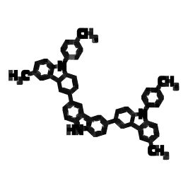 Cc1ccc(N2c3ccc(C)cc3C3C=C(c4ccc5[nH]c6ccc(C7=CC8c9cc(C)ccc9N(c9ccc(C)cc9)C8C=C7)cc6c5c4)C=CC32)cc1